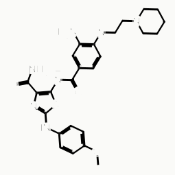 COc1ccc(Nc2nc(C(N)=O)c(NC(=O)c3ccc(NCCN4CCCCC4)c(N)c3)s2)cc1